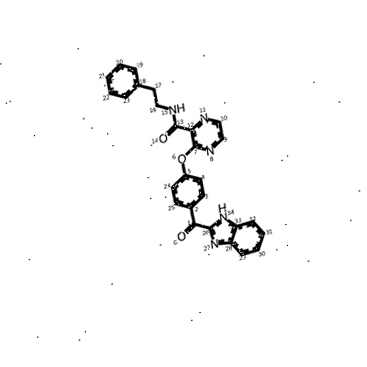 O=C(c1ccc(Oc2nccnc2C(=O)NCCc2ccccc2)cc1)c1nc2ccccc2[nH]1